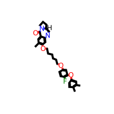 Cc1ccc(Oc2cc(OCCCCCCOc3cc4c(cc3C)C(=O)N3CCC[C@H]3C=N4)ccc2F)cc1C